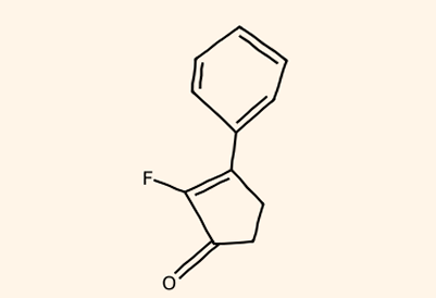 O=C1CCC(c2ccccc2)=C1F